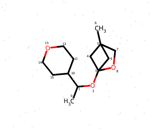 CC(OC12CC(C)(CO1)C2)C1CCOCC1